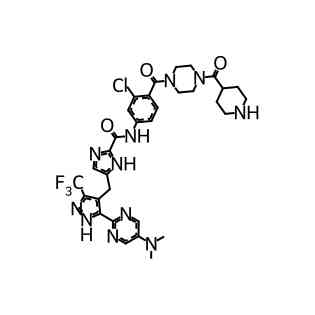 CN(C)c1cnc(-c2[nH]nc(C(F)(F)F)c2Cc2cnc(C(=O)Nc3ccc(C(=O)N4CCN(C(=O)C5CCNCC5)CC4)c(Cl)c3)[nH]2)nc1